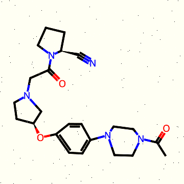 CC(=O)N1CCN(c2ccc(O[C@H]3CCN(CC(=O)N4CCC[C@H]4C#N)C3)cc2)CC1